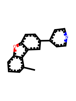 Cc1cccc2oc3ccc(-c4ccncc4)cc3c12